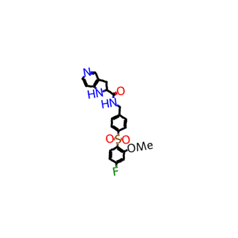 COc1cc(F)ccc1S(=O)(=O)c1ccc(CNC(=O)C2Cc3cnccc3N2)cc1